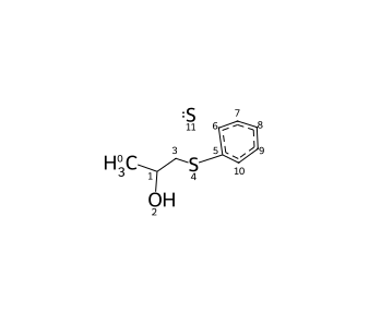 CC(O)CSc1ccccc1.[S]